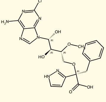 CO[C@H](CO[C@@](Cc1ccccc1)(C(=O)O)c1cc[nH]n1)[C@@H](O)[C@@H](O)n1cnc2c(N)nc(Cl)nc21